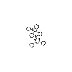 c1ccc(-c2nc(-c3ccccc3)nc(N3c4ccccc4-c4c(n(-c5ccccc5)c5ccccc45)-c4ccccc43)n2)cc1